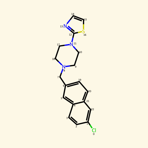 Clc1ccc2cc(CN3CCN(c4nccs4)CC3)ccc2c1